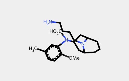 COc1ccc(C)cc1N(C(=O)O)C1CC2CCCC(C1)N2CCCCN